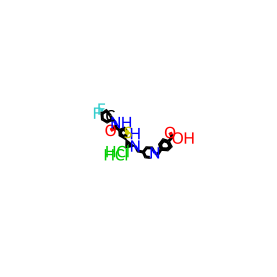 Cl.Cl.O=C(O)c1ccc(CN2CCC(CN[C@@H]3C[C@H]3c3cc(C(=O)NC4CCC(F)(F)CC4)cs3)CC2)cc1